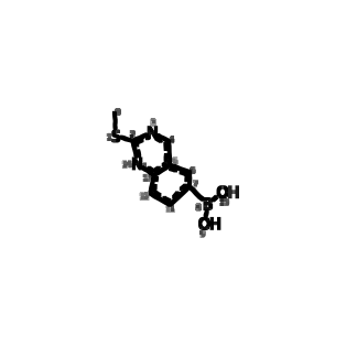 CSc1ncc2cc(B(O)O)ccc2n1